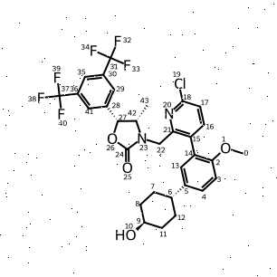 COc1ccc([C@H]2CC[C@H](O)CC2)cc1-c1ccc(Cl)nc1CN1C(=O)O[C@H](c2cc(C(F)(F)F)cc(C(F)(F)F)c2)[C@@H]1C